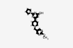 CSc1ncc(CN2CCC(c3cc(O)nc(N4CCCC4)n3)CC2)cn1